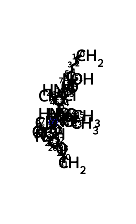 C=CCCCCN(CC(=O)Nc1c(Cl)cc(CN/C(=N/C(=O)c2c(-c3ccc(OCC=C)cc3)noc2C)NC(=O)OC(C)(C)C)cc1Cl)C(=O)O